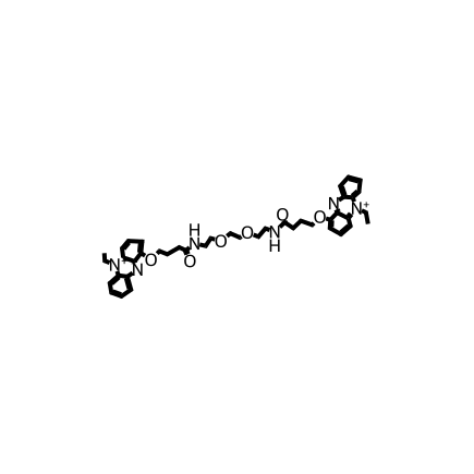 CC[n+]1c2ccccc2nc2c(OCCCC(=O)NCCOCCOCCNC(=O)CCCOc3cccc4c3nc3ccccc3[n+]4CC)cccc21